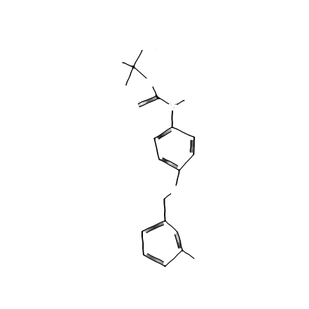 CN(C(=O)OC(C)(C)C)c1ccc(OCc2cccc(Cl)c2)cc1